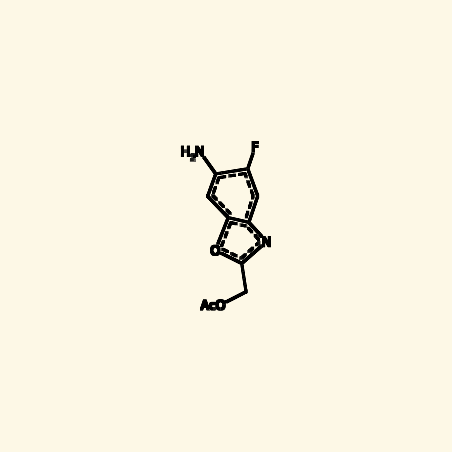 CC(=O)OCc1nc2cc(F)c(N)cc2o1